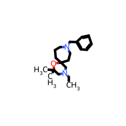 CCN1CC(C)(C)OC2(CCCN(Cc3ccccc3)CC2)C1